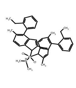 CCc1ccccc1-c1c(C)ccc2c1C=C(C)[CH]2[Zr]([Cl])([Cl])([CH]1C(C)=Cc2c1ccc(C)c2-c1ccccc1CC)[SiH](C)C